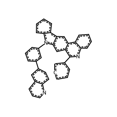 c1ccc(-c2nc3ccccc3c3cc4c5ccccc5n(-c5cccc(-c6ccc7ncccc7c6)c5)c4cc23)cc1